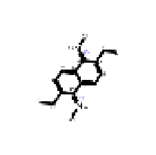 CCC1=CC=C2C(=CC=C(CC)/C2=N\C)/C1=N/C